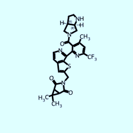 Cc1cc(C(F)(F)F)nc(-c2nccc3cc(CN4C(=O)C5C(C4=O)C5(C)C)sc23)c1C(=O)N1C[C@H]2CCN[C@H]2C1